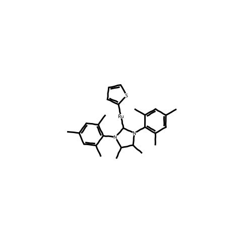 Cc1cc(C)c(N2C(C)C(C)N(c3c(C)cc(C)cc3C)[CH]2[Ru][c]2cccs2)c(C)c1